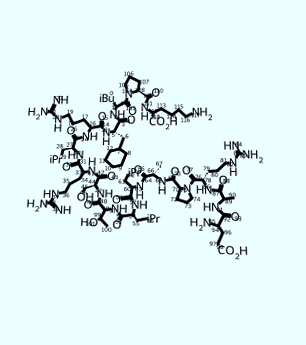 CCC(C)C(NC(=O)[C@H](CC1CCCCC1)NC(=O)C(CCCNC(=N)N)NC(=O)[C@H](CC(C)C)NC(=O)C(CCCNC(=N)N)NC(=O)[C@H](CO)NC(=O)C(NC(=O)[C@H](CC(C)C)NC(=O)C(CC(C)C)NC(=O)[C@H](C)NC(=O)C1CCCN1C(=O)[C@H](CCCNC(=N)N)NC(=O)C(C)NC(=O)C(N)CCC(=O)O)C(C)O)C(=O)N1CCC[C@H]1C(=O)NC(CCCCN)C(=O)O